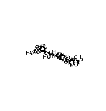 CN1CCOc2ncc(S(=O)(=O)N3CCC4(CC3)C[C@@H](NCC(O)COc3cccc(S(=O)(=O)CCO)c3)CO4)cc21